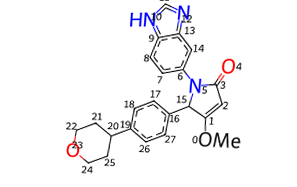 COC1=CC(=O)N(c2ccc3[nH]cnc3c2)C1c1ccc(C2CCOCC2)cc1